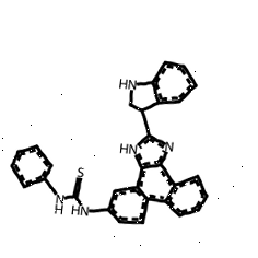 S=C(Nc1ccccc1)Nc1ccc2c3ccccc3c3nc(C4CNc5ccccc54)[nH]c3c2c1